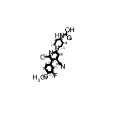 COc1ccc(-c2c(C#N)cc(N3CCC(NC(=O)O)CC3)nc2Cl)cc1F